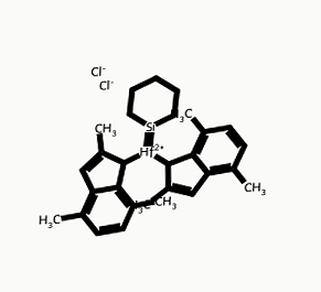 CC1=Cc2c(C)ccc(C)c2[CH]1[Hf+2]([CH]1C(C)=Cc2c(C)ccc(C)c21)=[Si]1CCCCC1.[Cl-].[Cl-]